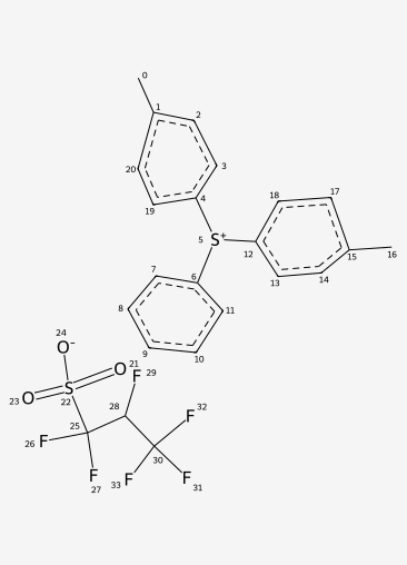 Cc1ccc([S+](c2ccccc2)c2ccc(C)cc2)cc1.O=S(=O)([O-])C(F)(F)C(F)C(F)(F)F